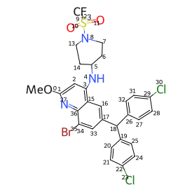 COc1cc(NC2CCN(S(=O)(=O)C(F)(F)F)CC2)c2cc(C(c3ccc(Cl)cc3)c3ccc(Cl)cc3)cc(Br)c2n1